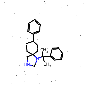 CC(C)(c1ccccc1)N1CNCC12CCC(c1ccccc1)CC2